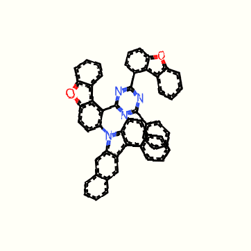 c1ccc(-c2nc(-c3cccc4oc5ccccc5c34)nc(-c3c(-n4c5cc6ccccc6cc5c5c6ccccc6ccc54)ccc4oc5ccccc5c34)n2)cc1